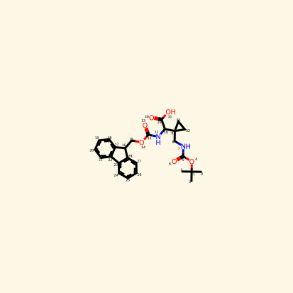 CC(C)(C)OC(=O)NCC1(C(NC(=O)OCC2c3ccccc3-c3ccccc32)C(=O)O)CC1